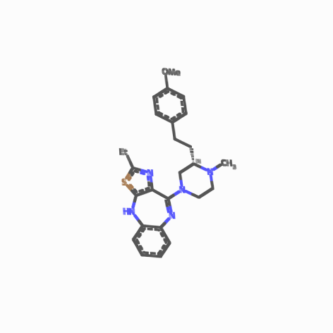 CCc1nc2c(s1)Nc1ccccc1N=C2N1CCN(C)[C@@H](CCc2ccc(OC)cc2)C1